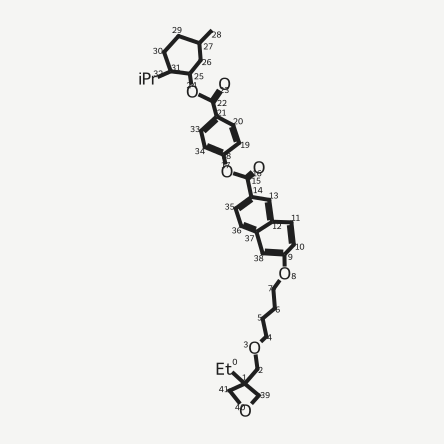 CCC1(COCCCCOc2ccc3cc(C(=O)Oc4ccc(C(=O)OC5CC(C)CCC5C(C)C)cc4)ccc3c2)COC1